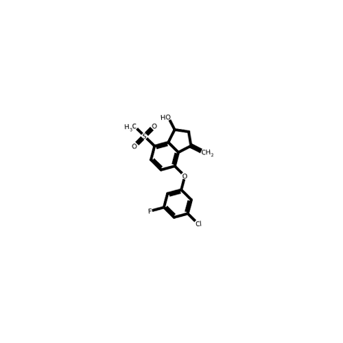 C=C1CC(O)c2c(S(C)(=O)=O)ccc(Oc3cc(F)cc(Cl)c3)c21